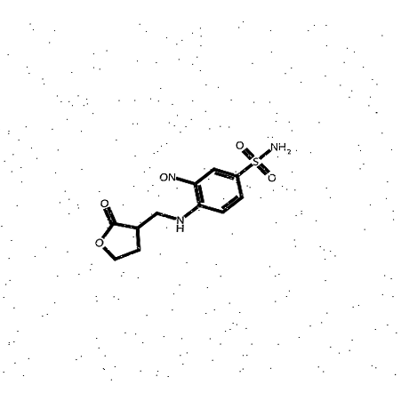 NS(=O)(=O)c1ccc(NCC2CCOC2=O)c(N=O)c1